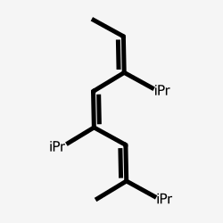 C\C=C(/C=C(\C=C(/C)C(C)C)C(C)C)C(C)C